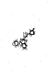 Cc1cccc(CCNc2nc(N3CCOCC3)c3ncccc3n2)c1